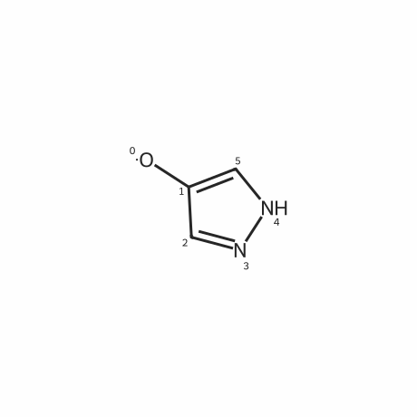 [O]c1cn[nH]c1